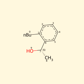 CCCCc1ccccc1[C@H](C)O